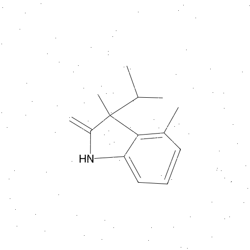 C=C1Nc2cccc(C)c2C1(C)C(C)C